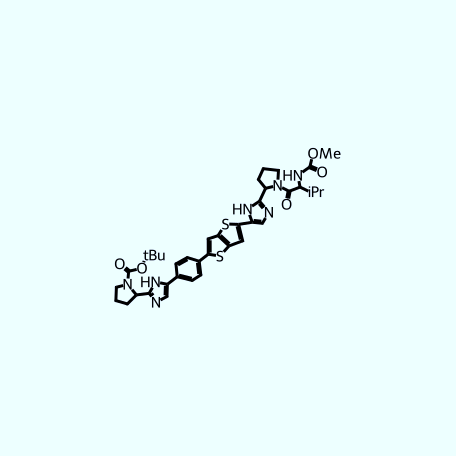 COC(=O)NC(C(=O)N1CCCC1c1ncc(-c2cc3sc(-c4ccc(-c5cnc(C6CCCN6C(=O)OC(C)(C)C)[nH]5)cc4)cc3s2)[nH]1)C(C)C